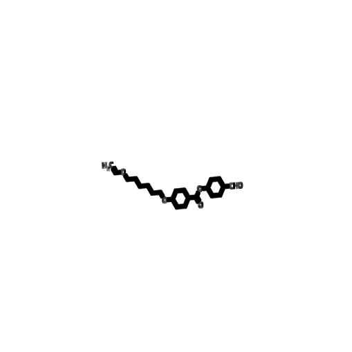 C=COCCCCCCOC1CCC(C(=O)OC2CCC(C=O)CC2)CC1